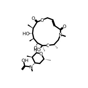 C=C(O)N(C)[C@H]1C[C@@H](C)O[C@@H](O[C@@H]2[C@@H](C)[C@H](O)[C@@H](C)C(=O)OC/C=C/C(=O)N(C)C[C@H](C)C[C@@]2(C)O)[C@@H]1C